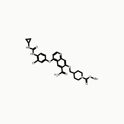 CC(C)(C)OC(=O)N1CCC(COc2cc3nccc(Oc4ccc(NC(=O)NC5CC5)c(Cl)c4)c3cc2C(N)=O)CC1